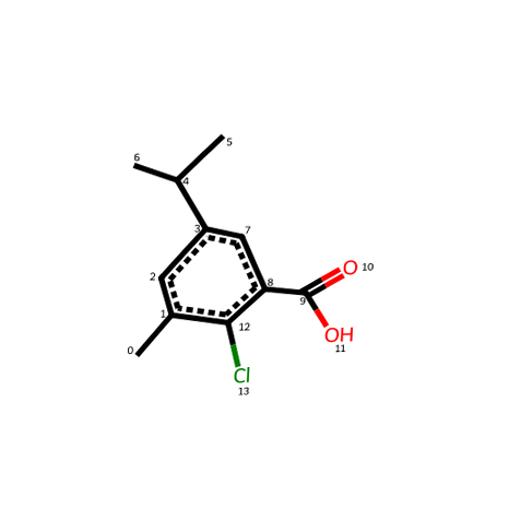 Cc1cc(C(C)C)cc(C(=O)O)c1Cl